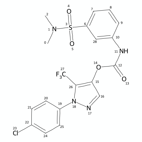 CN(C)S(=O)(=O)c1cccc(NC(=O)Oc2cnn(-c3ccc(Cl)cc3)c2C(F)(F)F)c1